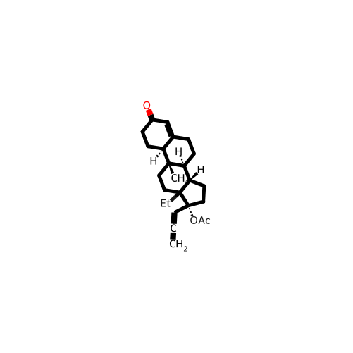 C=C=C[C@]1(OC(C)=O)CC[C@H]2[C@@H]3CCC4=CC(=O)CC[C@@H]4[C@@]3(C)CCC21CC